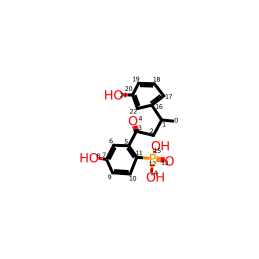 CC(CC(=O)c1cc(O)ccc1P(=O)(O)O)c1cccc(O)c1